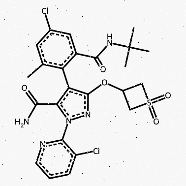 Cc1cc(Cl)cc(C(=O)NC(C)(C)C)c1-c1c(OC2CS(=O)(=O)C2)nn(-c2ncccc2Cl)c1C(N)=O